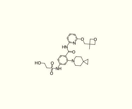 CC1(COc2cccc(NC(=O)c3ccc(NS(=O)(=O)CCO)cc3N3CCC4(CC3)CC4)n2)COC1